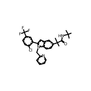 CC(C)(C)NC(=O)C(C)(C)c1ccc2c(c1)cc(-c1cc(C(F)(F)F)ccc1Cl)n2Cc1ccccn1